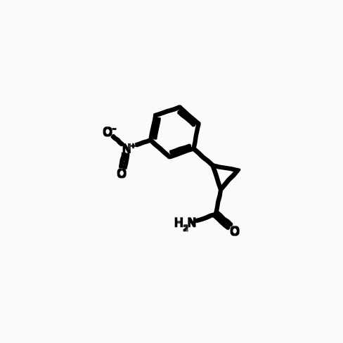 NC(=O)C1CC1c1cccc([N+](=O)[O-])c1